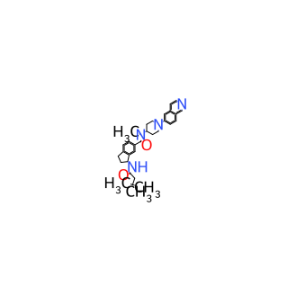 CN(C(=O)c1ccc2c(c1)C(NC(=O)CC(C)(C)C)CC2)C1CCN(c2ccc3cnccc3c2)CC1